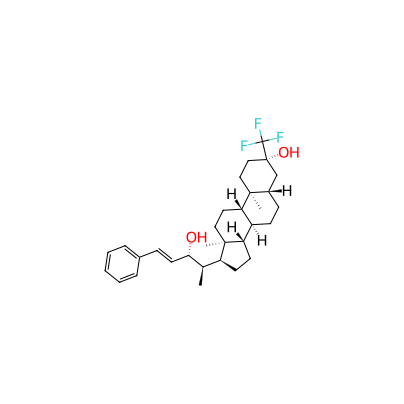 C[C@@H]([C@@H](O)/C=C/c1ccccc1)[C@@H]1CC[C@H]2[C@@H]3CC[C@H]4C[C@](O)(C(F)(F)F)CC[C@]4(C)[C@H]3CC[C@]12C